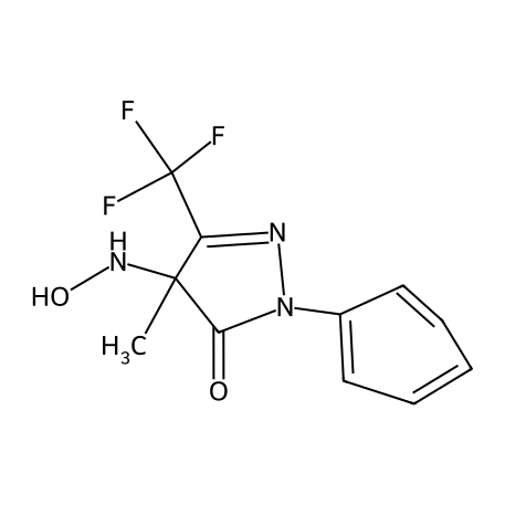 CC1(NO)C(=O)N(c2ccccc2)N=C1C(F)(F)F